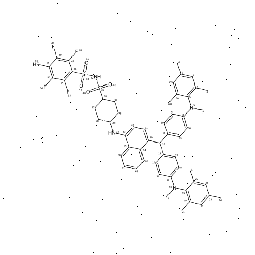 Cc1cc(C)c(N(C)c2ccc(C(c3ccc(N(C)c4c(C)cc(C)cc4C)cc3)c3ccc(NC4CCC(S(=O)(=O)NS(=O)(=O)c5c(F)c(F)c(S)c(F)c5F)CC4)c4ccccc34)cc2)c(C)c1